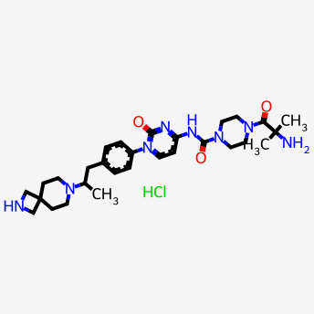 CC(Cc1ccc(-n2ccc(NC(=O)N3CCN(C(=O)C(C)(C)N)CC3)nc2=O)cc1)N1CCC2(CC1)CNC2.Cl